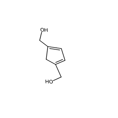 OCC1=CC=C(CO)C1